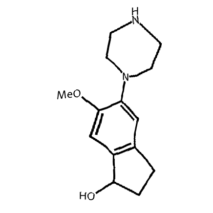 COc1cc2c(cc1N1CCNCC1)CCC2O